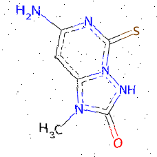 Cn1c(=O)[nH]n2c(=S)nc(N)cc12